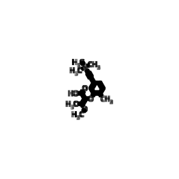 COC(C)=C(Oc1cc(C#C[Si](C)(C)C)ccc1C)C(=O)O